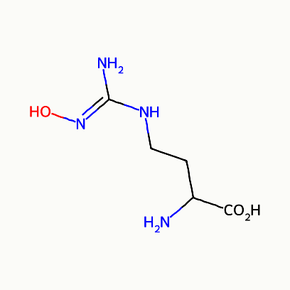 NC(=NO)NCCC(N)C(=O)O